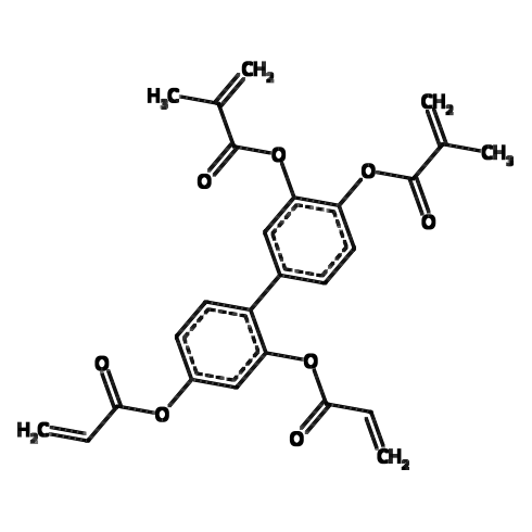 C=CC(=O)Oc1ccc(-c2ccc(OC(=O)C(=C)C)c(OC(=O)C(=C)C)c2)c(OC(=O)C=C)c1